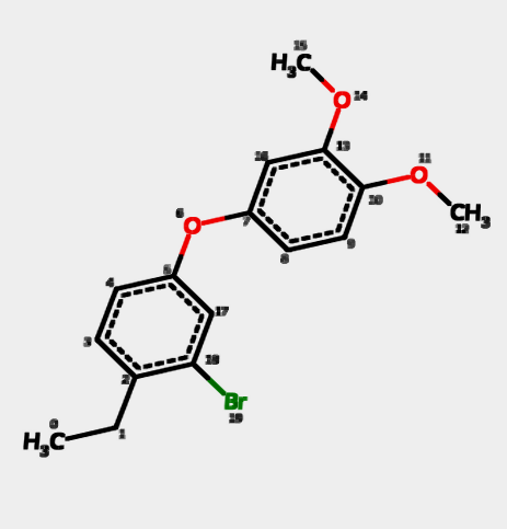 CCc1ccc(Oc2ccc(OC)c(OC)c2)cc1Br